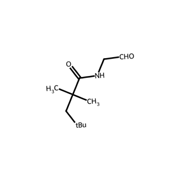 CC(C)(C)CC(C)(C)C(=O)NCC=O